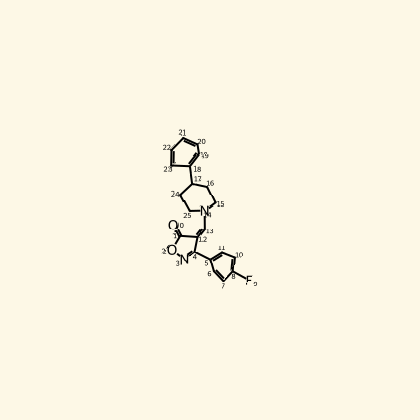 O=C1ON=C(c2ccc(F)cc2)/C1=C/N1CCC(c2ccccc2)CC1